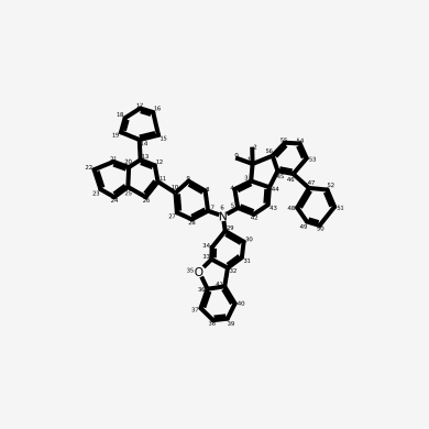 CC1(C)c2cc(N(c3ccc(-c4cc(-c5ccccc5)c5ccccc5c4)cc3)c3ccc4c(c3)oc3ccccc34)ccc2-c2c(-c3ccccc3)cccc21